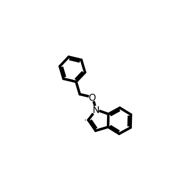 [c]1cc2ccccc2n1OCc1ccccc1